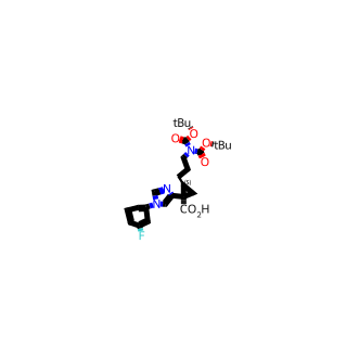 CC(C)(C)OC(=O)N(CCC[C@H]1CC1(C(=O)O)c1cn(-c2cccc(F)c2)cn1)C(=O)OC(C)(C)C